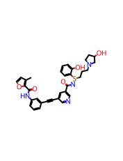 Cc1ccoc1C(=O)Nc1cccc(C#Cc2cncc(C(=O)N=S(CCCN3CCC(O)C3)c3ccccc3O)c2)c1